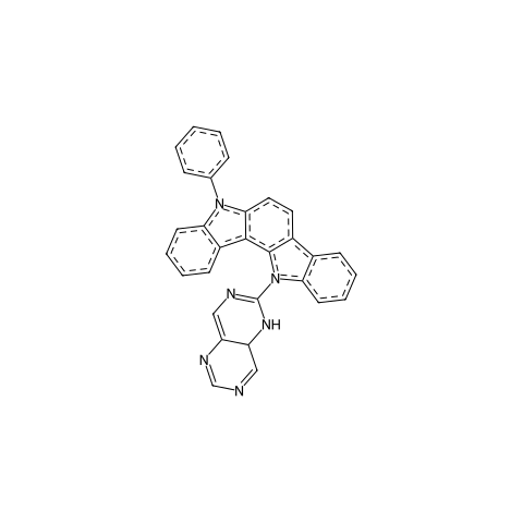 C1=NC=NC2=CN=C(n3c4ccccc4c4ccc5c(c6ccccc6n5-c5ccccc5)c43)NC12